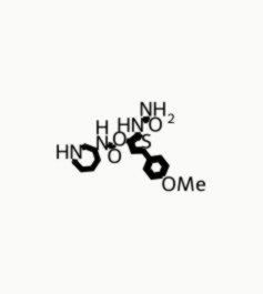 COc1ccc(-c2cc(OC(=O)N[C@@H]3CCCCNC3)c(NC(N)=O)s2)cc1